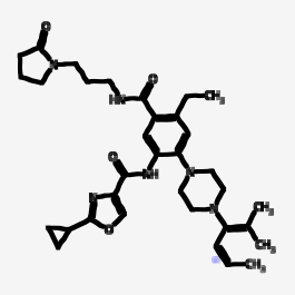 C/C=C\C(=C(C)C)N1CCN(c2cc(CC)c(C(=O)NCCCN3CCCC3=O)cc2NC(=O)c2coc(C3CC3)n2)CC1